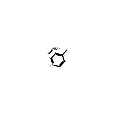 CNC.Cc1ccncc1